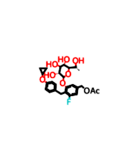 CC(=O)OCc1cc(F)c(Cc2ccc(OC3CC3)cc2)c(O[C@@H]2O[C@H]([C@@H](C)O)[C@@H](O)[C@H](O)[C@H]2O)c1